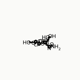 Cc1c(COc2cc(OCc3cncc(C(N)=O)c3)c(CNCC(O)CO)cc2Cl)cccc1-c1cccc(OCCCO)c1Cl